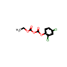 CCOC(=O)OC(=O)Oc1ccc(Cl)cc1Cl